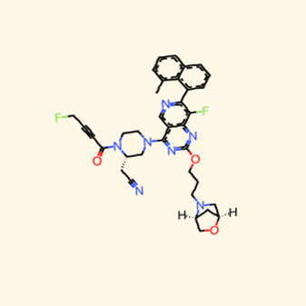 Cc1cccc2cccc(-c3ncc4c(N5CCN(C(=O)C#CCF)[C@@H](CC#N)C5)nc(OCCCN5C[C@@H]6C[C@H]5CO6)nc4c3F)c12